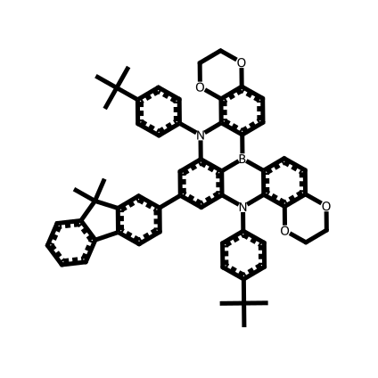 CC(C)(C)c1ccc(N2c3cc(-c4ccc5c(c4)C(C)(C)c4ccccc4-5)cc4c3B(c3ccc5c(c32)OCCO5)c2ccc3c(c2N4c2ccc(C(C)(C)C)cc2)OCCO3)cc1